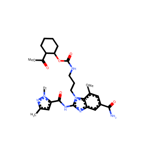 CCn1nc(C)cc1C(=O)Nc1nc2cc(C(N)=O)cc(OC)c2n1CCCNC(=O)OC1CCCCC1C(=O)OC